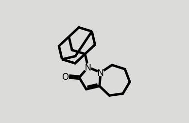 O=c1cc2n(n1C13CC4CC(CC(C4)C1)C3)CCCCC2